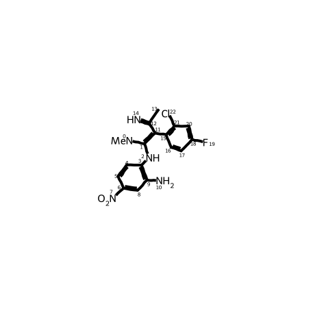 CN/C(Nc1ccc([N+](=O)[O-])cc1N)=C(\C(C)=N)c1ccc(F)cc1Cl